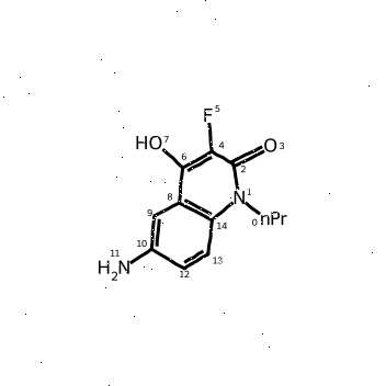 CCCn1c(=O)c(F)c(O)c2cc(N)ccc21